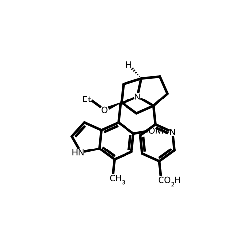 CCO[C@H]1C[C@H]2CCC(c3ccc(C(=O)O)cn3)(C1)N2Cc1c(OC)cc(C)c2[nH]ccc12